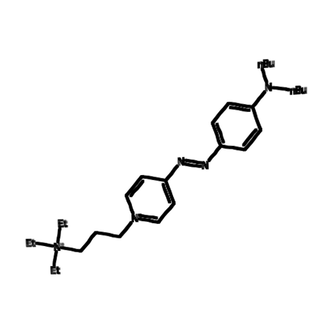 CCCCN(CCCC)c1ccc(/N=N/c2cc[n+](CCC[N+](CC)(CC)CC)cc2)cc1